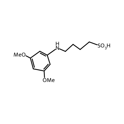 COc1cc(NCCCCS(=O)(=O)O)cc(OC)c1